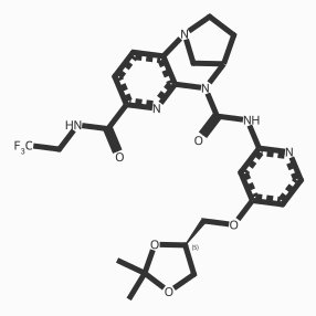 CC1(C)OC[C@H](COc2ccnc(NC(=O)N3c4nc(C(=O)NCC(F)(F)F)ccc4N4CCC3C4)c2)O1